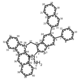 NNc1sc2cc(-c3ccccc3)c(-c3ccc4ccccc4c3)cc2c1Cn1c2ccccc2c2cc3ccccc3cc21